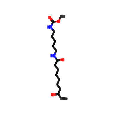 COC(=O)CCCCCCC(=O)NCCCCCNC(=O)OC(C)(C)C